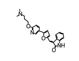 CN(C)CCCOc1ccc(-c2ccc(/C=C3/C(=O)Nc4ccccc43)o2)cn1